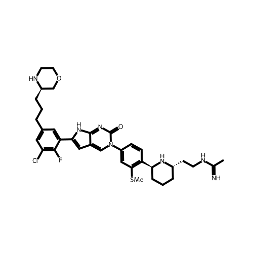 CSc1cc(-n2cc3cc(-c4cc(CCC[C@@H]5COCCN5)cc(Cl)c4F)[nH]c3nc2=O)ccc1[C@@H]1CCC[C@@H](CCNC(C)=N)N1